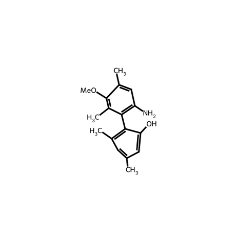 COc1c(C)cc(N)c(-c2c(C)cc(C)cc2O)c1C